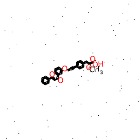 COC(Cc1ccc(C#CCOc2ccc3oc(-c4ccccc4)cc(=O)c3c2)cc1)C(=O)O